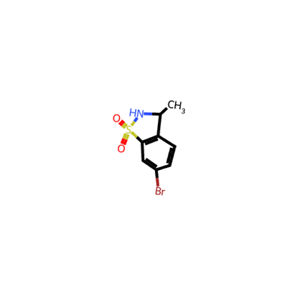 CC1NS(=O)(=O)c2cc(Br)ccc21